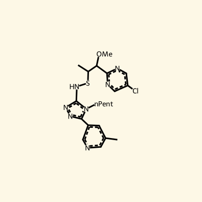 CCCCCn1c(NSC(C)C(OC)c2ncc(Cl)cn2)nnc1-c1cncc(C)c1